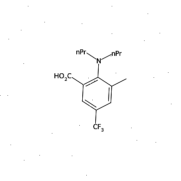 CCCN(CCC)c1c(C)cc(C(F)(F)F)cc1C(=O)O